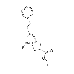 CCOC(=O)C1Cc2cc(OCc3ccccc3)cc(F)c2C1